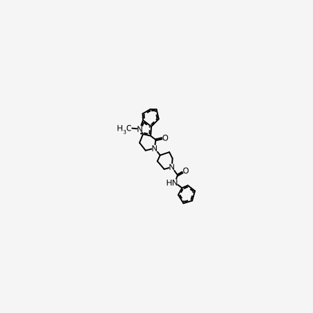 Cn1c2c(c3ccccc31)C(=O)N(C1CCN(C(=O)Nc3ccccc3)CC1)CC2